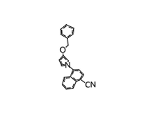 N#Cc1ccc(-n2ccc(OCc3ccccc3)c2)c2ccccc12